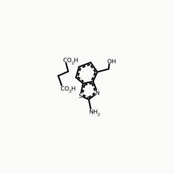 Nc1nc2c(CO)cccc2s1.O=C(O)CCC(=O)O